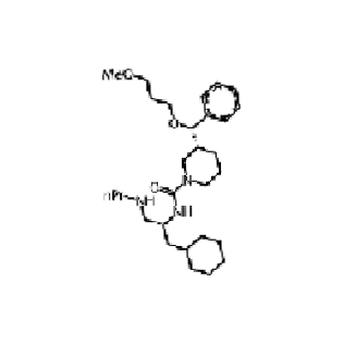 CCCNC[C@H](CC1CCCCC1)NC(=O)N1CCC[C@@H](C(OCCCOC)c2ccccc2)C1